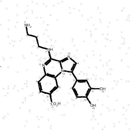 NCCCNc1nc2ccc(C(=O)O)cc2n2c(-c3ccc(O)c(O)c3)cnc12